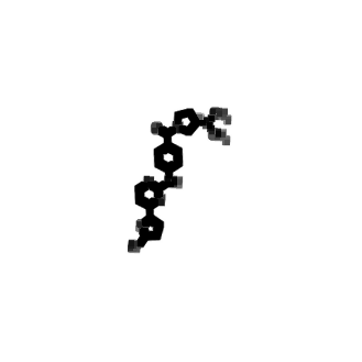 CN(C)[C@@H]1CCN(C(=O)c2ccc(Nc3nccc(-c4ccc(Br)s4)n3)cc2)C1